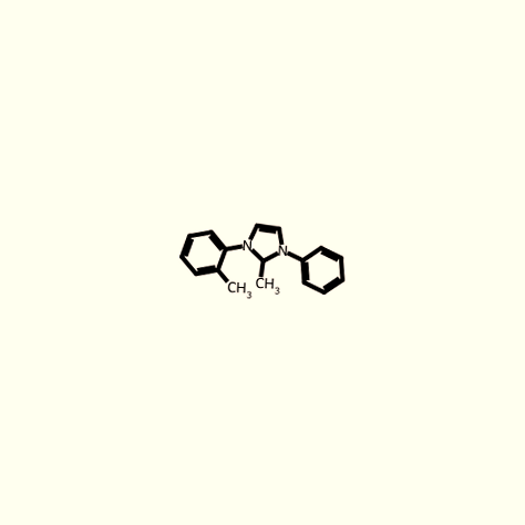 Cc1ccccc1N1C=CN(c2ccccc2)C1C